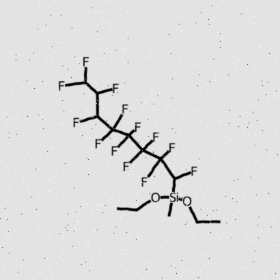 CCO[Si](C)(OCC)C(F)C(F)(F)C(F)(F)C(F)(F)C(F)(F)C(F)C(F)C(F)F